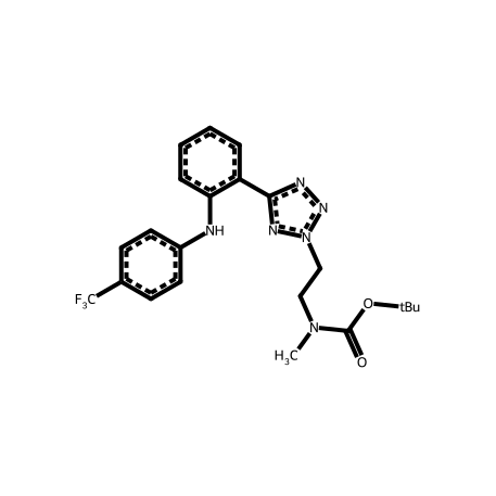 CN(CCn1nnc(-c2ccccc2Nc2ccc(C(F)(F)F)cc2)n1)C(=O)OC(C)(C)C